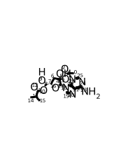 CC(=O)O[C@@]1(O)C[C@@H](C(O)OC(=O)C(C)C)O[C@H]1n1cnc2c(N)ncnc21